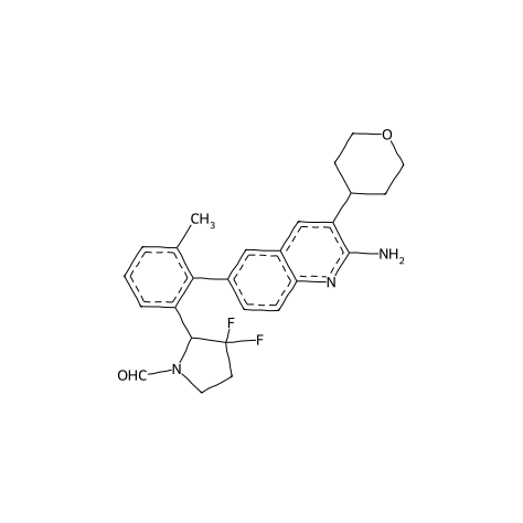 Cc1cccc(C2N(C=O)CCC2(F)F)c1-c1ccc2nc(N)c(C3CCOCC3)cc2c1